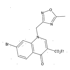 CCOC(=O)c1cn(Cc2noc(C)n2)c2cc(Br)ccc2c1=O